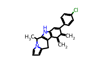 C=c1c(-c2ccc(Cl)cc2)cc2[nH]c3c(c2c1=C)Cc1cccn1C3C